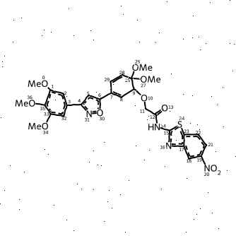 COc1cc(-c2cc(C3=CC(OCC(=O)Nc4nc5cc([N+](=O)[O-])ccc5s4)C(OC)(OC)C=C3)on2)cc(OC)c1OC